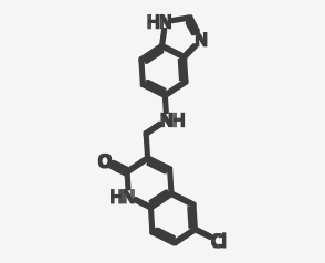 O=c1[nH]c2ccc(Cl)cc2cc1CNc1ccc2[nH]cnc2c1